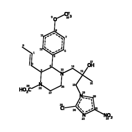 CC=CC1C(c2ccc(OC(F)(F)F)cc2)N(CC(C)(O)Cn2cc([N+](=O)[O-])nc2Cl)CCN1C(=O)O